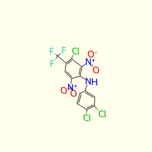 O=[N+]([O-])c1cc(C(F)(F)F)c(Cl)c([N+](=O)[O-])c1Nc1ccc(Cl)c(Cl)c1